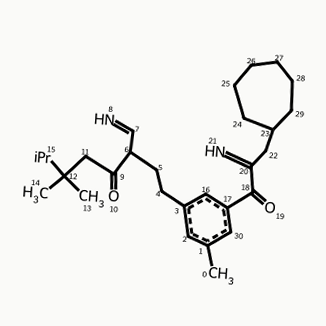 Cc1cc(CCC(C=N)C(=O)CC(C)(C)C(C)C)cc(C(=O)C(=N)CC2CCCCCC2)c1